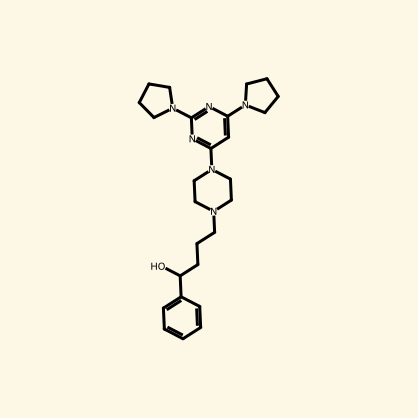 OC(CCCN1CCN(c2cc(N3CCCC3)nc(N3CCCC3)n2)CC1)c1ccccc1